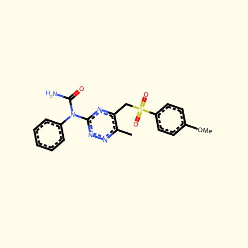 COc1ccc(S(=O)(=O)Cc2nc(N(C(N)=O)c3ccccc3)nnc2C)cc1